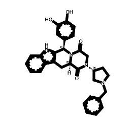 O=C1[C@H]2Cc3c([nH]c4ccccc34)[C@@H](c3ccc(O)c(O)c3)N2C(=O)CN1[C@@H]1CCN(Cc2ccccc2)C1